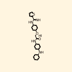 I.N=C(Nc1ccc(OCC(=O)Nc2ccc(Nc3ccccc3)cc2)cc1)c1cccs1